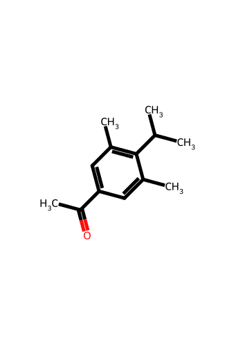 CC(=O)c1cc(C)c(C(C)C)c(C)c1